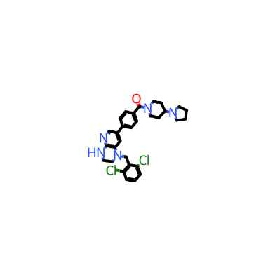 O=C(c1ccc(-c2cnc3c(c2)N(Cc2c(Cl)cccc2Cl)CCN3)cc1)N1CCC(N2CCCC2)CC1